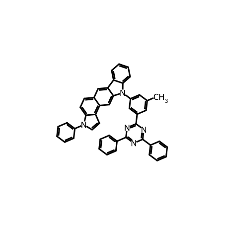 Cc1cc(-c2nc(-c3ccccc3)nc(-c3ccccc3)n2)cc(-n2c3ccccc3c3cc4ccc5c(ccn5-c5ccccc5)c4cc32)c1